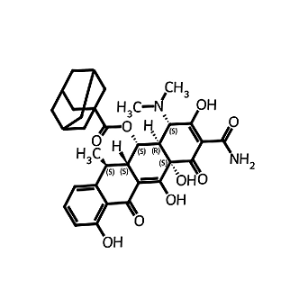 C[C@@H]1c2cccc(O)c2C(=O)C2=C(O)[C@]3(O)C(=O)C(C(N)=O)=C(O)[C@@H](N(C)C)[C@@H]3[C@@H](OC(=O)C34CC5CC(CC(C5)C3)C4)[C@H]21